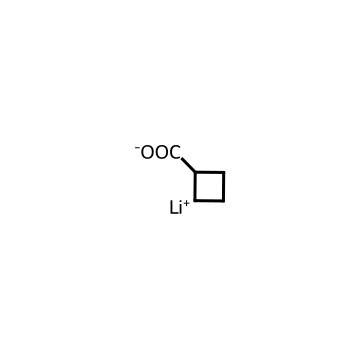 O=C([O-])C1CCC1.[Li+]